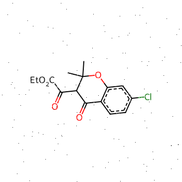 CCOC(=O)C(=O)C1C(=O)c2ccc(Cl)cc2OC1(C)C